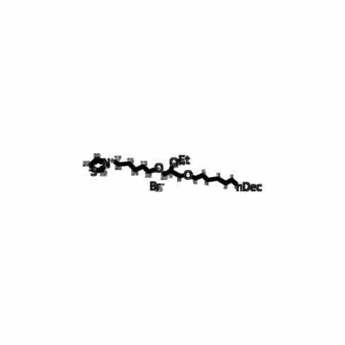 CCCCCCCCCCCCCCCCOCC(COCCCCCC[n+]1ccsc1)OCC.[Br-]